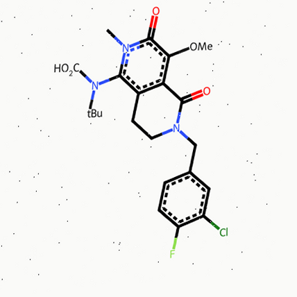 COc1c2c(c(N(C(=O)O)C(C)(C)C)n(C)c1=O)CCN(Cc1ccc(F)c(Cl)c1)C2=O